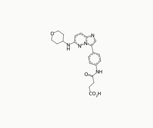 O=C(O)CCC(=O)Nc1ccc(-c2cnc3ccc(NC4CCOCC4)nn23)cc1